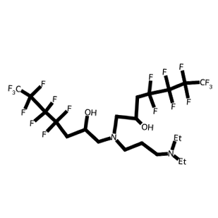 CCN(CC)CCCN(CC(O)CC(F)(F)C(F)(F)C(F)(F)C(F)(F)F)CC(O)CC(F)(F)C(F)(F)C(F)(F)C(F)(F)F